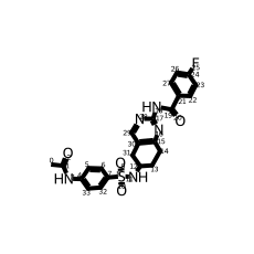 CC(=O)Nc1ccc(S(=O)(=O)NC2CCc3nc(NC(=O)c4ccc(F)cc4)ncc3C2)cc1